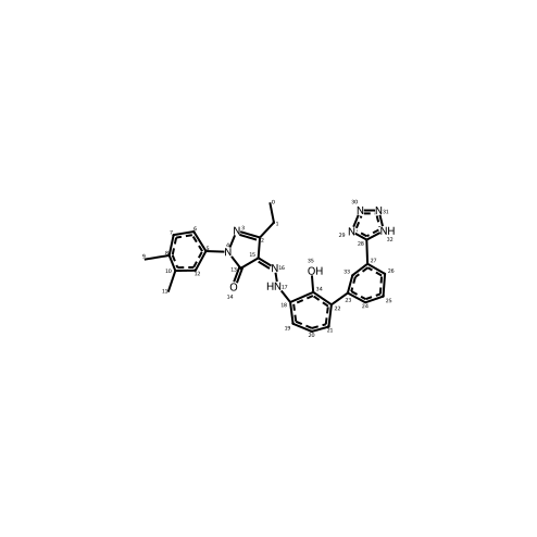 CCC1=NN(c2ccc(C)c(C)c2)C(=O)/C1=N\Nc1cccc(-c2cccc(-c3nnn[nH]3)c2)c1O